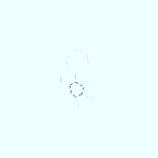 CC(C)c1cc(F)c(C2CCCCCCCC2)cc1O